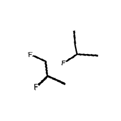 CC(C)F.CC(F)CF